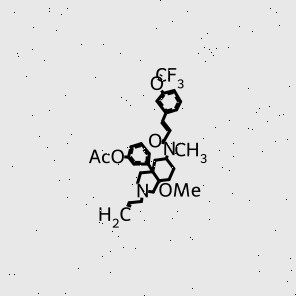 C=CCN1CCC2(c3cccc(OC(C)=O)c3)CC(N(C)C(=O)/C=C/c3cccc(OC(F)(F)F)c3)CCC2(OC)C1